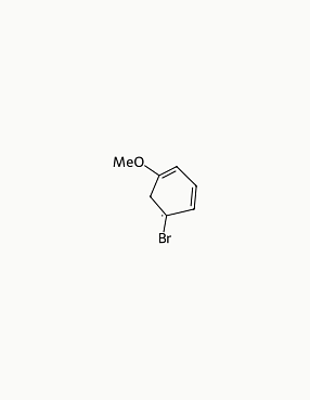 COC1=CC=C[C](Br)C1